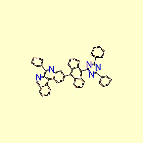 c1ccc(-c2nc(-c3ccccc3)nc(-c3c4ccccc4c(-c4ccc5c(c4)nc(-c4ccccc4)c4ncc6ccccc6c45)c4ccccc34)n2)cc1